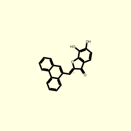 O=C1/C(=C/c2cc3ccccc3c3ccccc23)Oc2c1ccc(O)c2O